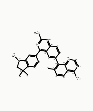 CNc1nc(-c2ccc3c(c2)N(C(C)=O)CC3(C)C)c2cc(-c3c(C)ccc4c(N)ncnc34)ccc2n1